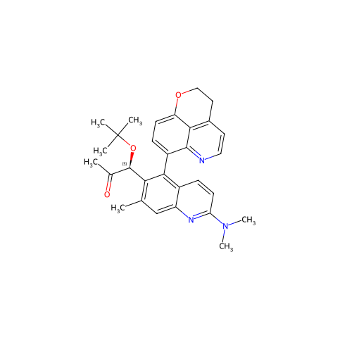 CC(=O)[C@@H](OC(C)(C)C)c1c(C)cc2nc(N(C)C)ccc2c1-c1ccc2c3c(ccnc13)CCO2